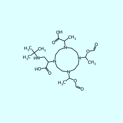 CC(OC=O)N1CCN(C(C)OC=O)CCN(C(CNC(C)(C)C)C(=O)O)CCN(C(C)C(=O)O)CC1